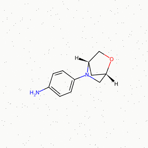 Nc1ccc(N2C[C@@H]3C[C@H]2CO3)cc1